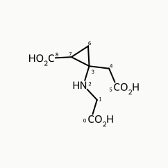 O=C(O)CNC1(CC(=O)O)CC1C(=O)O